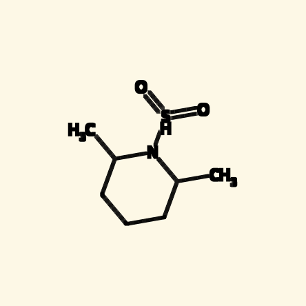 CC1CCCC(C)N1[SH](=O)=O